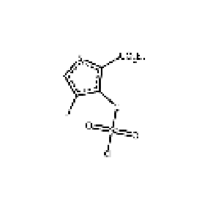 CCOC(=O)c1scc(F)c1OS(=O)(=O)Cl